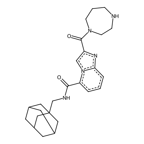 O=C(NCC12CC3CC(CC(C3)C1)C2)c1cccc2nc(C(=O)N3CCCNCC3)cn12